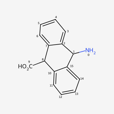 NC1c2ccccc2C(C(=O)O)c2ccccc21